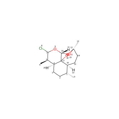 C[C@@H]1CC[C@H]2[C@@H](C)C(Cl)O[C@@H]3O[C@]4(C)CC[C@@H]1C32OO4